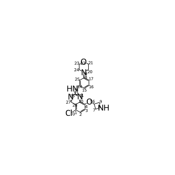 Clc1ccc(OC2CNC2)c2nc(Nc3cccc(N4CCOCC4)c3)ncc12